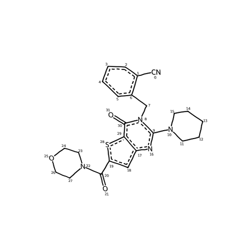 N#Cc1ccccc1Cn1c(N2CCCCC2)nc2cc(C(=O)N3CCOCC3)sc2c1=O